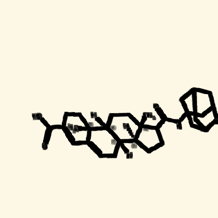 C[C@]12CCC(C(=O)O)=CC1=CC[C@@H]1[C@H]2CC[C@]2(C)C(C(=O)NC34CC5CC(CC(C5)C3)C4)CC[C@@H]12